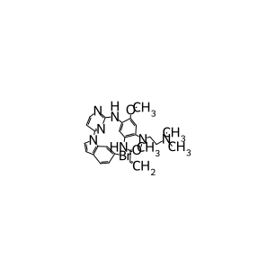 C=CC(=O)Nc1cc(Nc2nccc(-n3ccc4ccc(Br)cc43)n2)c(OC)cc1N(C)CCN(C)C